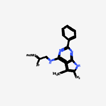 CC(=O)NC(CNc1nc(-c2ccccc2)nc2[nH]c(C)c(C)c12)C(C)C